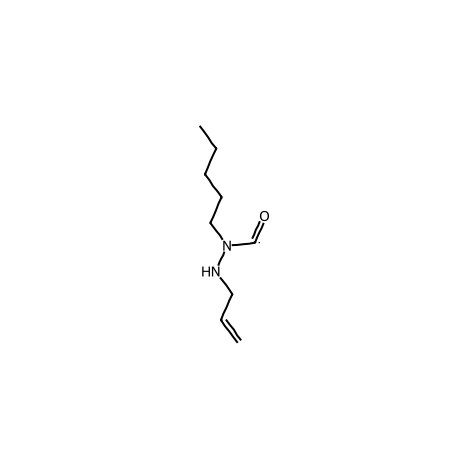 C=CCNN([C]=O)CCCCC